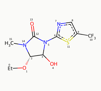 CCO[C@H]1C(O)N(c2ncc(C(F)(F)F)s2)C(=O)N1C